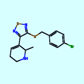 CC1NCCC=C1c1nsnc1SCc1ccc(Br)cc1